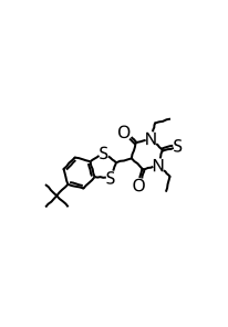 CCN1C(=O)C(C2Sc3ccc(C(C)(C)C)cc3S2)C(=O)N(CC)C1=S